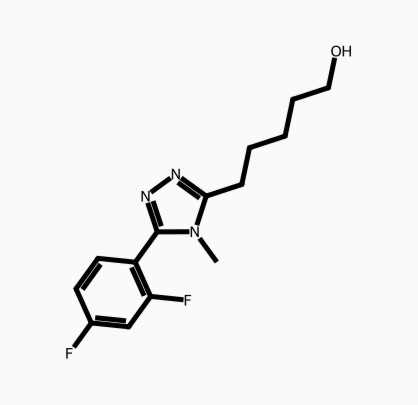 Cn1c(CCCCCO)nnc1-c1ccc(F)cc1F